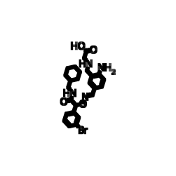 Nc1ccc(C=NOC(C(=O)NCC2CCCCC2)c2cccc(Br)c2)cc1CNCC(=O)O